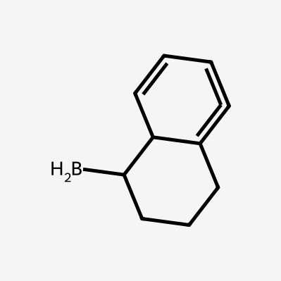 BC1CCCC2=C=CC=CC21